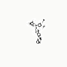 Cc1cccc(CN(c2ccc3c(c2)C(=O)N(CC(=O)O[C@@H](Cc2c(Cl)c[n+]([O-])cc2Cl)c2ccc(OC(F)F)c(OCC4CC4)c2)C3=O)S(C)(=O)=O)n1